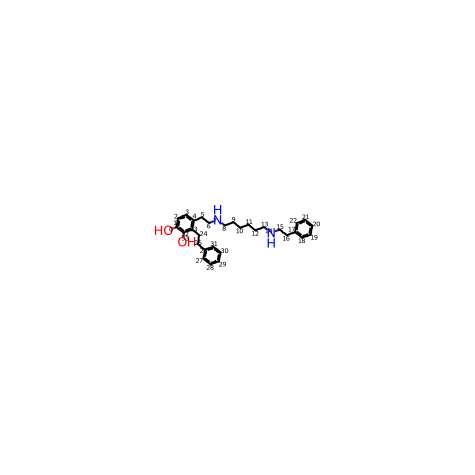 Oc1ccc(CCNCCCCCCNCCc2ccccc2)c(CCc2ccccc2)c1O